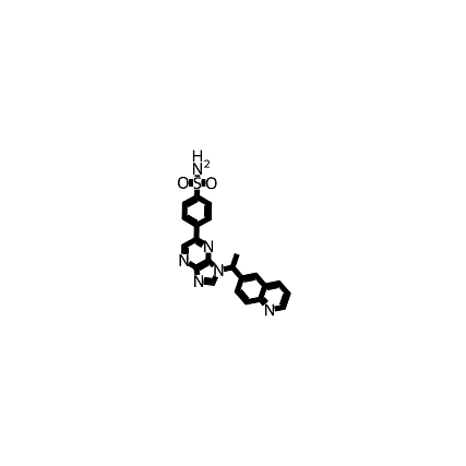 CC(c1ccc2ncccc2c1)n1cnc2ncc(-c3ccc(S(N)(=O)=O)cc3)nc21